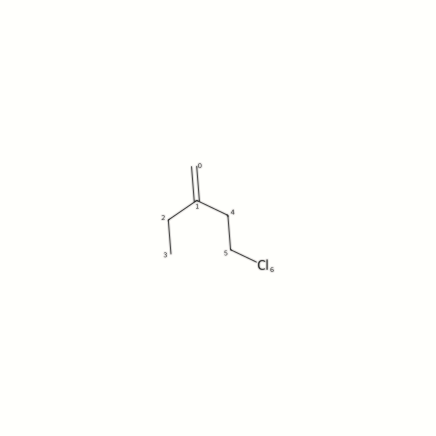 C=C(CC)CCCl